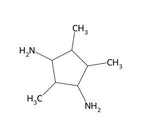 CC1C(C)C(N)C(C)C1N